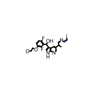 COCCOc1ccc(F)c(C(O)c2c[nH]c3ncc(C(C)/C=N\C=C/I)cc23)c1F